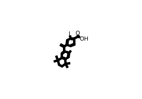 C=C(c1ccc(C(=O)O)c(I)c1)c1cc2c(cc1C)C(C)(C)CCC2(C)C